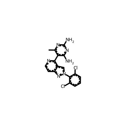 Cc1nc(N)nc(N)c1-c1nccc2nn(-c3c(Cl)cccc3Cl)cc12